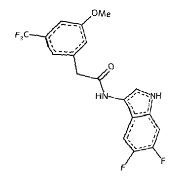 COc1cc(CC(=O)Nc2c[nH]c3cc(F)c(F)cc23)cc(C(F)(F)F)c1